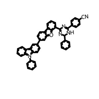 N#Cc1ccc(C2=NC(c3cccc4c3oc3cc(-c5ccc6c(c5)c5ccccc5n6-c5ccccc5)ccc34)=NC(c3ccccc3)N2)cc1